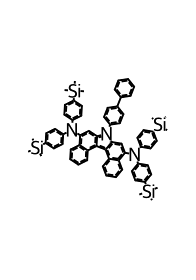 C[Si](C)(C)c1ccc(N(c2ccc([Si](C)(C)C)cc2)c2cc3c(c4ccccc24)c2c4ccccc4c(N(c4ccc([Si](C)(C)C)cc4)c4ccc([Si](C)(C)C)cc4)cc2n3-c2ccc(-c3ccccc3)cc2)cc1